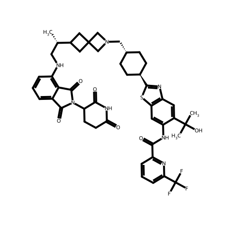 C[C@@H](CNc1cccc2c1C(=O)N(C1CCC(=O)NC1=O)C2=O)C1CC2(C1)CN(C[C@H]1CC[C@H](c3nc4cc(C(C)(C)O)c(NC(=O)c5cccc(C(F)(F)F)n5)cc4s3)CC1)C2